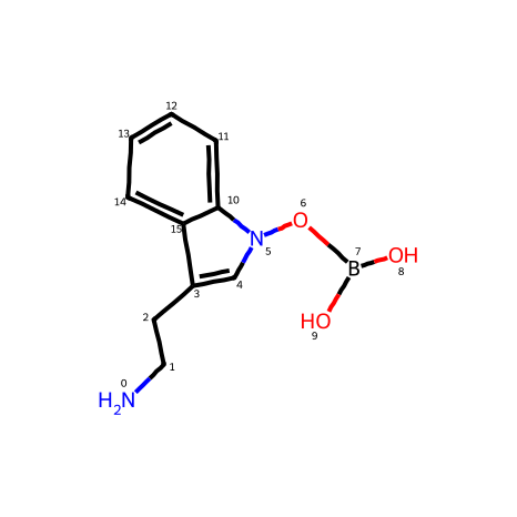 NCCc1cn(OB(O)O)c2ccccc12